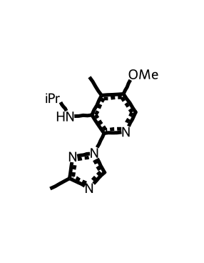 COc1cnc(-n2cnc(C)n2)c(NC(C)C)c1C